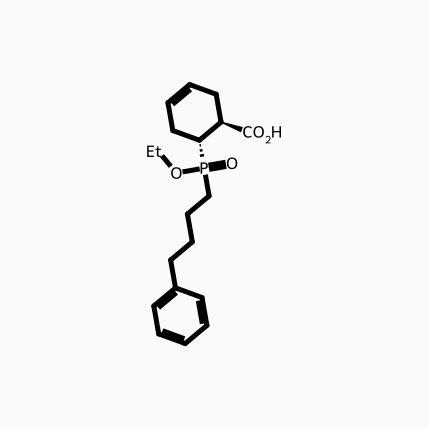 CCOP(=O)(CCCCc1ccccc1)[C@@H]1CC=CC[C@H]1C(=O)O